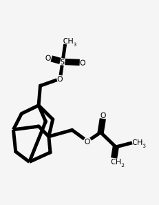 C=C(C)C(=O)OCC12CC3CC(C1)CC(COS(C)(=O)=O)(C3)C2